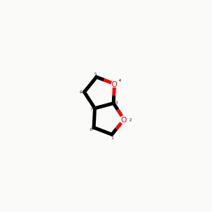 [C]1COC2OCCC12